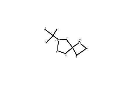 CC(C)(C)N1CCC2(CCO2)C1